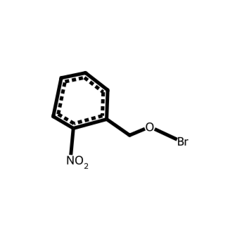 O=[N+]([O-])c1ccccc1COBr